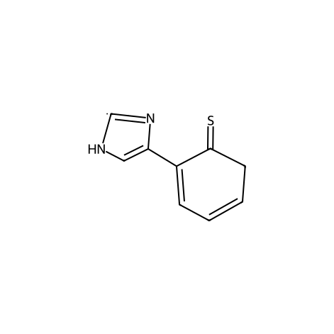 S=C1CC=CC=C1c1c[nH][c]n1